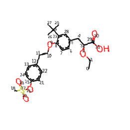 CCOC(Cc1ccc(OCCc2ccc(OS(C)(=O)=O)cc2)c(C(C)(C)C)c1)C(=O)O